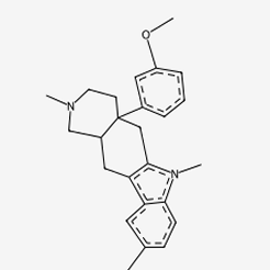 COc1cccc(C23CCN(C)CC2Cc2c(n(C)c4ccc(C)cc24)C3)c1